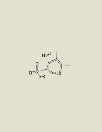 Cc1ccc(S(=O)(=O)S)cc1C.[NaH]